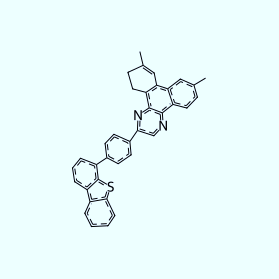 CC1=Cc2c(c3nc(-c4ccc(-c5cccc6c5sc5ccccc56)cc4)cnc3c3ccc(C)cc23)CC1